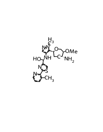 CO[C@@H]1CO[C@H](c2c(NC(O)c3csc(-c4ncccc4C)n3)cnn2C)CC[C@H]1N